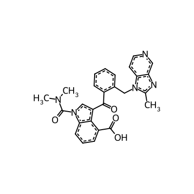 Cc1nc2cnccc2n1Cc1ccccc1C(=O)c1cn(C(=O)N(C)C)c2cccc(C(=O)O)c12